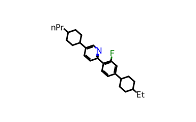 CCCC1CCC(c2ccc(-c3ccc(C4CCC(CC)CC4)cc3F)nc2)CC1